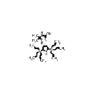 C=CC[Si](CC=C)(CC=C)C1CCC([Si](CC=C)(CC=C)CC=C)N1.CC(C)(C)NC(=O)O